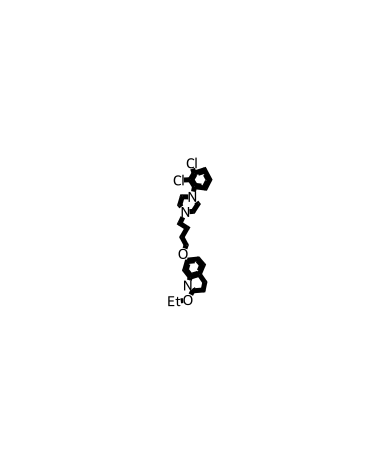 CCOC1=Nc2cc(OCCCCN3CCN(c4cccc(Cl)c4Cl)CC3)ccc2CC1